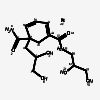 NC(=O)C1(CC(O)CO)C=CC=C(C(=O)NCC(O)CO)C1.[N]